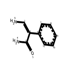 NC=C(C(N)=O)c1ccccc1